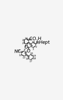 CCCCCCCc1ccc(C(=O)Oc2cc(C#N)ccc2-c2ccccc2)c(-c2ccccc2C(=O)O)c1